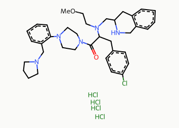 COCCN(CC1Cc2ccccc2CN1)C(Cc1ccc(Cl)cc1)C(=O)N1CCN(c2ccccc2CN2CCCC2)CC1.Cl.Cl.Cl.Cl